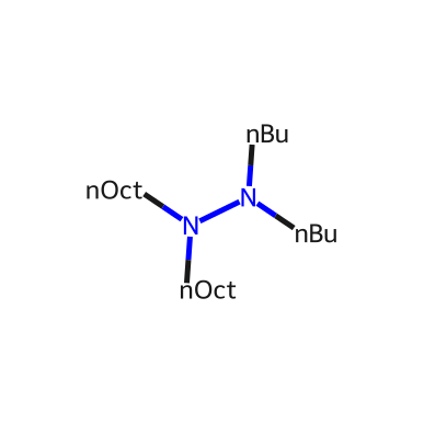 CCCCCCCCN(CCCCCCCC)N(CCCC)CCCC